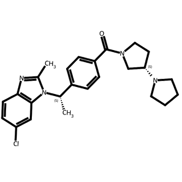 Cc1nc2ccc(Cl)cc2n1[C@@H](C)c1ccc(C(=O)N2CC[C@H](N3CCCC3)C2)cc1